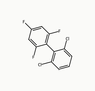 Fc1cc(F)c(-c2c(Cl)[c]ccc2Cl)c(F)c1